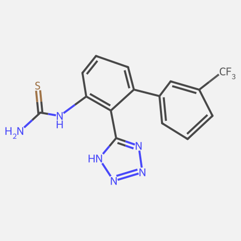 NC(=S)Nc1cccc(-c2cccc(C(F)(F)F)c2)c1-c1nnn[nH]1